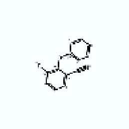 N#Cc1cccc(F)c1Oc1ccccc1